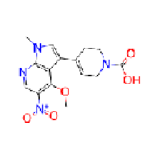 COc1c([N+](=O)[O-])cnc2c1c(C1=CCN(C(=O)O)CC1)cn2C